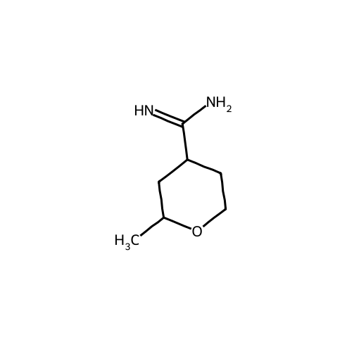 CC1CC(C(=N)N)CCO1